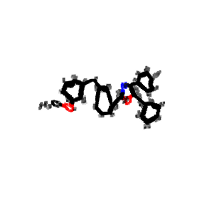 COc1cccc(CC2CCC=C(c3nc(-c4ccccc4)c(-c4ccccc4)o3)C2)c1